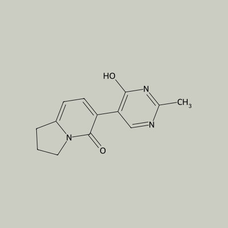 Cc1ncc(-c2ccc3n(c2=O)CCC3)c(O)n1